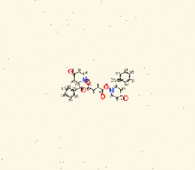 O=C1CCN(OC(=O)CCC(=O)ON2CCC(=O)CC2Cc2ccccc2)C(Cc2ccccc2)C1